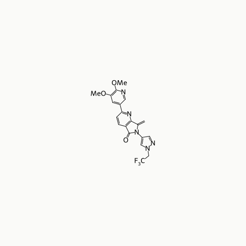 C=C1c2nc(-c3cnc(OC)c(OC)c3)ccc2C(=O)N1c1cnn(CC(F)(F)F)c1